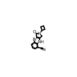 N#Cc1cccc(Br)c1NC1=CC(=O)N(C2CCC2)C1